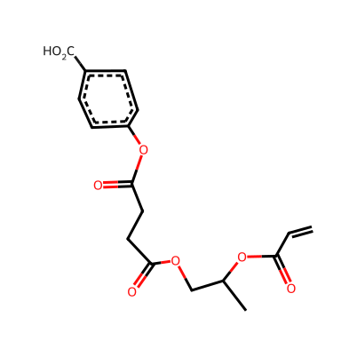 C=CC(=O)OC(C)COC(=O)CCC(=O)Oc1ccc(C(=O)O)cc1